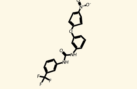 O=C(Nc1cccc(Oc2ccc([N+](=O)[O-])cc2)c1)Nc1cccc(C(F)(F)F)c1